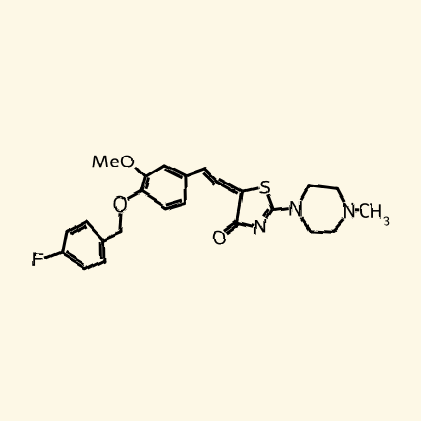 COc1cc(C=C=C2SC(N3CCN(C)CC3)=NC2=O)ccc1OCc1ccc(F)cc1